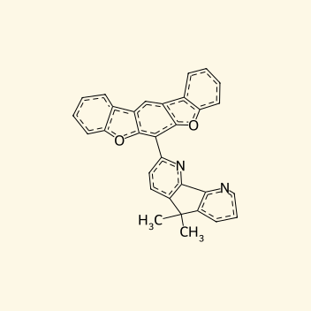 CC1(C)c2cccnc2-c2nc(-c3c4oc5ccccc5c4cc4c3oc3ccccc34)ccc21